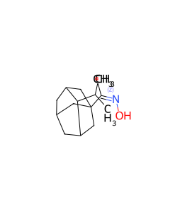 C/C(=N/O)C12CC3CC(C1)C(C(C)C)C(C3)C2